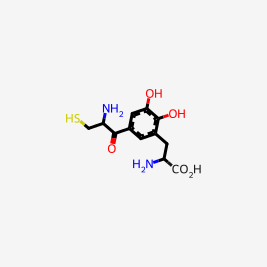 NC(Cc1cc(C(=O)C(N)CS)cc(O)c1O)C(=O)O